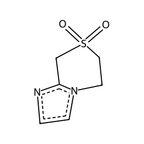 O=S1(=O)CCn2ccnc2C1